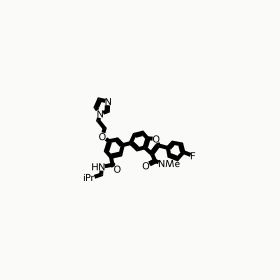 CNC(=O)c1c(-c2ccc(F)cc2)oc2ccc(-c3cc(OCCn4ccnc4)cc(C(=O)NCC(C)C)c3)cc12